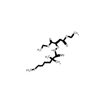 CCOC(=O)C=C(ONC(=N)C(C)(C)CCCCSC)C(=O)OCC